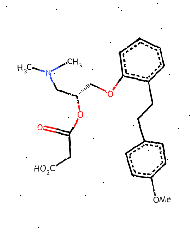 COc1ccc(CCc2ccccc2OC[C@@H](CN(C)C)OC(=O)CC(=O)O)cc1